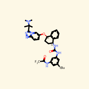 CN(C)C(C)(C)c1nnc2ccc(O[C@@H]3CC[C@H](NC(=O)Nc4cc(NC(=O)C(F)(F)F)cc(C(C)(C)C)c4)c4ccccc43)cn12